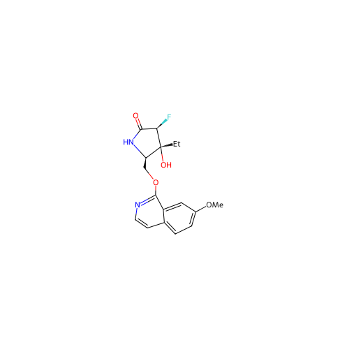 CC[C@]1(O)[C@H](F)C(=O)N[C@@H]1COc1nccc2ccc(OC)cc12